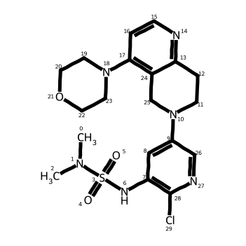 CN(C)S(=O)(=O)Nc1cc(N2CCc3nccc(N4CCOCC4)c3C2)cnc1Cl